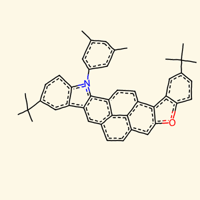 Cc1cc(C)cc(-n2c3ccc(C(C)(C)C)cc3c3cc4ccc5cc6oc7ccc(C(C)(C)C)cc7c6c6ccc(c4c56)c32)c1